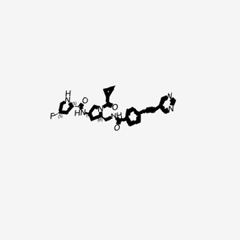 O=C(NC[C@H]1C[C@@H](NC(=O)[C@@H]2C[C@H](F)CN2)CN1C(=O)C1CC1)c1ccc(C#Cc2cncnc2)cc1